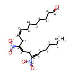 CCCCC/C=C(\C/C=C(\C/C=C\CCCCCC[C]=O)[N+](=O)[O-])[N+](=O)[O-]